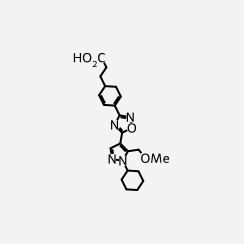 COCc1c(-c2nc(C3=CCC(CCC(=O)O)C=C3)no2)cnn1C1CCCCC1